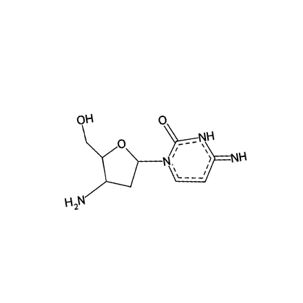 N=c1ccn(C2CC(N)C(CO)O2)c(=O)[nH]1